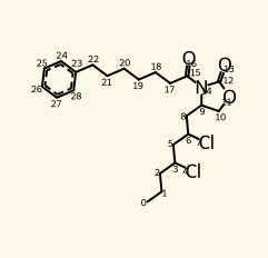 CCCC(Cl)CC(Cl)CC1COC(=O)N1C(=O)CCCCCCc1ccccc1